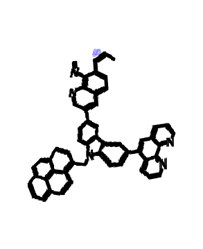 C=Nc1c(/C=C\C)ccc2cc(-c3ccc4c(c3)c3cc(-c5cc6cccnc6c6ncccc56)ccc3n4Cc3ccc4ccc5cccc6ccc3c4c56)cnc12